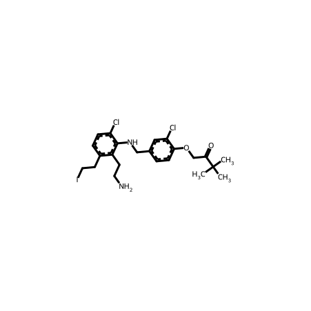 CC(C)(C)C(=O)COc1ccc(CNc2c(Cl)ccc(CCI)c2CCN)cc1Cl